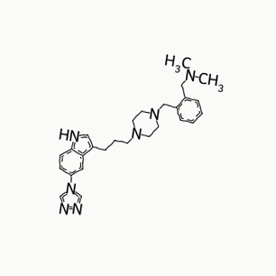 CN(C)Cc1ccccc1CN1CCN(CCCc2c[nH]c3ccc(-n4cnnc4)cc23)CC1